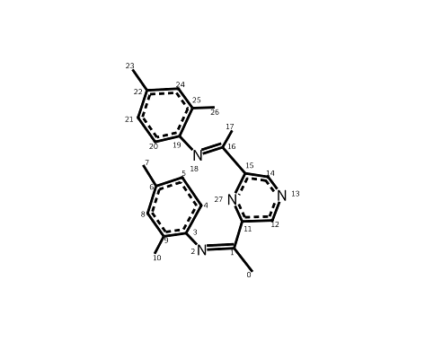 CC(=Nc1ccc(C)cc1C)c1cncc(C(C)=Nc2ccc(C)cc2C)n1